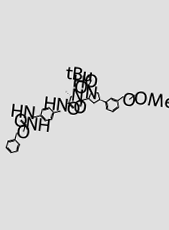 COCOCc1cccc([C@H]2CC(C(=O)N[C@@H](C)C(=O)NCc3ccc(C(=N)NC(=O)OCc4ccccc4)cc3)N(C(=O)OC(C)(C)C)C2)c1